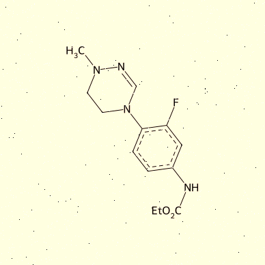 CCOC(=O)Nc1ccc(N2C=NN(C)CC2)c(F)c1